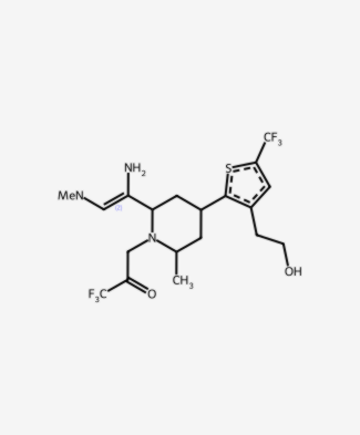 CN/C=C(\N)C1CC(c2sc(C(F)(F)F)cc2CCO)CC(C)N1CC(=O)C(F)(F)F